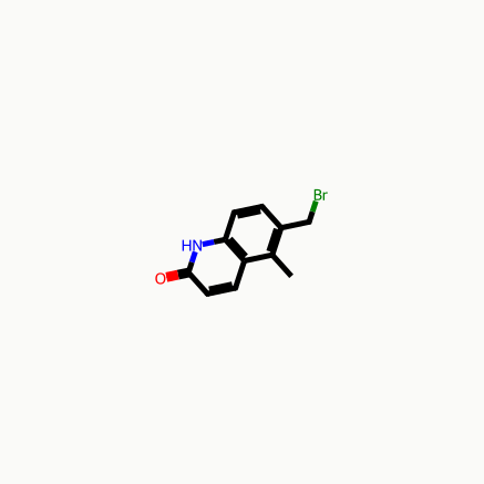 Cc1c(CBr)ccc2[nH]c(=O)ccc12